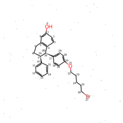 Oc1ccc2c(c1)CC[C@H](c1ccccc1)[C@@H]2c1ccc(OCCCCCBr)cc1